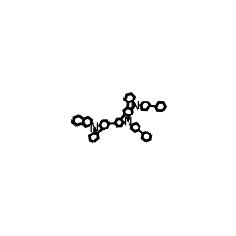 c1ccc(-c2ccc(-n3c4ccccc4c4cc5c6cc(-c7ccc8c(c7)c7ccccc7n8-c7ccc8ccccc8c7)ccc6n(-c6ccc(-c7ccccc7)cc6)c5cc43)cc2)cc1